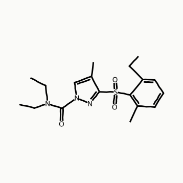 CCc1cccc(C)c1S(=O)(=O)c1nn(C(=O)N(CC)CC)cc1C